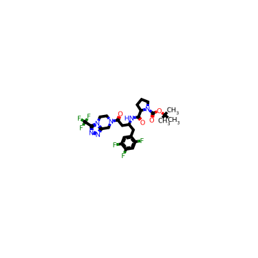 CC(C)(C)OC(=O)N1CCCC1C(=O)NC(CC(=O)N1CCn2c(nnc2C(F)(F)F)C1)Cc1cc(F)c(F)cc1F